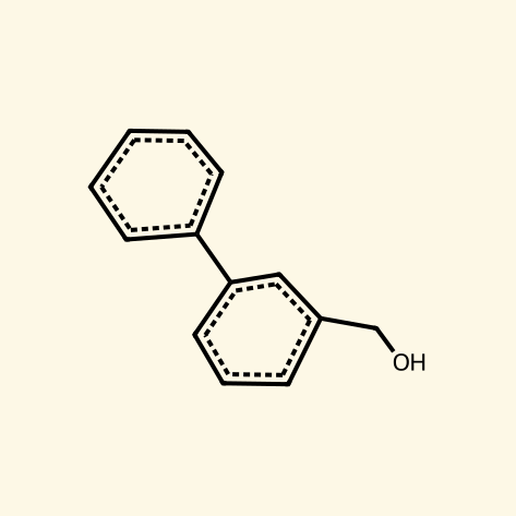 OCc1cccc(-c2ccccc2)c1